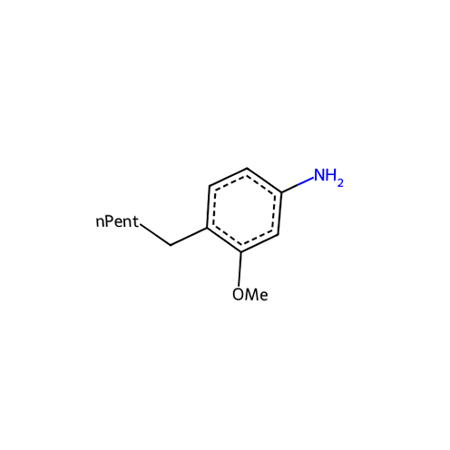 CCCCCCc1ccc(N)cc1OC